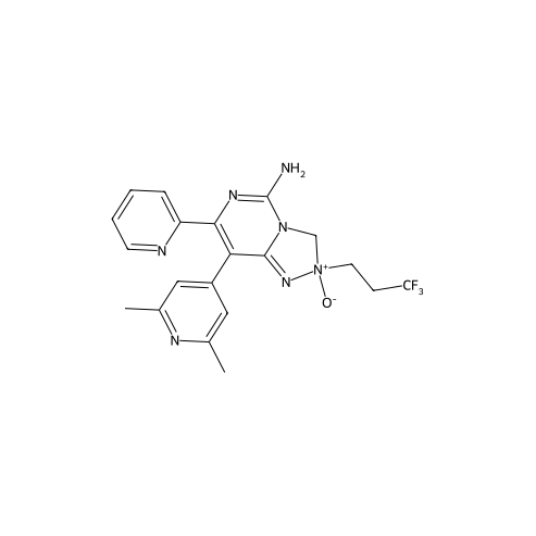 Cc1cc(C2=C(c3ccccn3)N=C(N)N3C[N+]([O-])(CCC(F)(F)F)N=C23)cc(C)n1